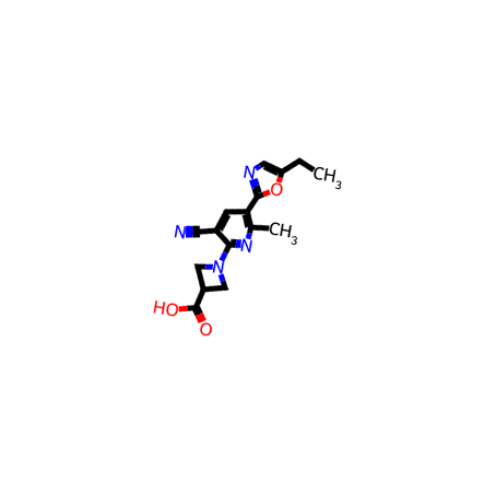 CCc1cnc(-c2cc(C#N)c(N3CC(C(=O)O)C3)nc2C)o1